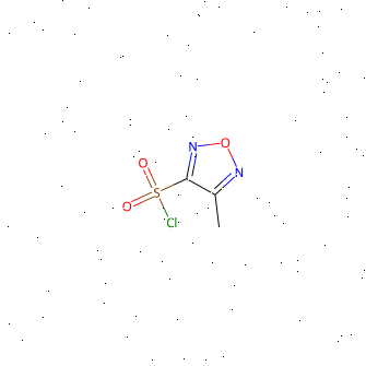 Cc1nonc1S(=O)(=O)Cl